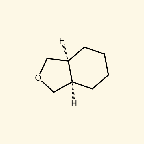 C1CC[C@H]2COC[C@H]2C1